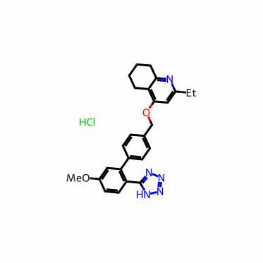 CCc1cc(OCc2ccc(-c3cc(OC)ccc3-c3nnn[nH]3)cc2)c2c(n1)CCCC2.Cl